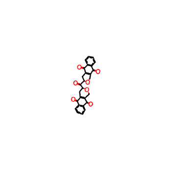 O=C1C2=C(CC(C(=O)C3CC4=C(CO3)C(=O)c3ccccc3C4=O)OC2)C(=O)c2ccccc21